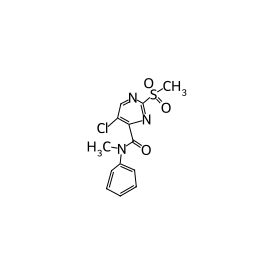 CN(C(=O)c1nc(S(C)(=O)=O)ncc1Cl)c1ccccc1